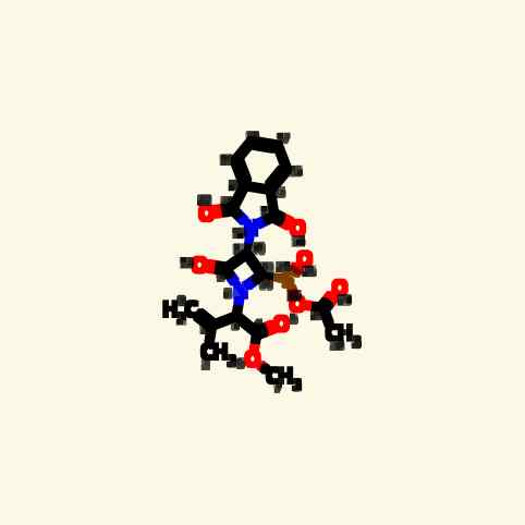 C=C(C)C(C(=O)OC)N1C(=O)[C@@H](N2C(=O)c3ccccc3C2=O)[C@H]1S(=O)OC(C)=O